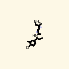 BC/C(C)=C\C=C(/C)NC(CC)c1ccc(Cl)c(C)c1